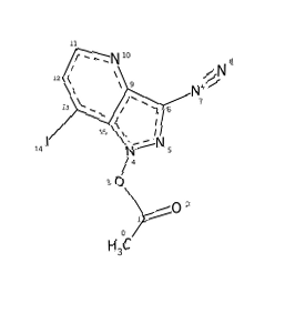 CC(=O)On1nc([N+]#N)c2nccc(I)c21